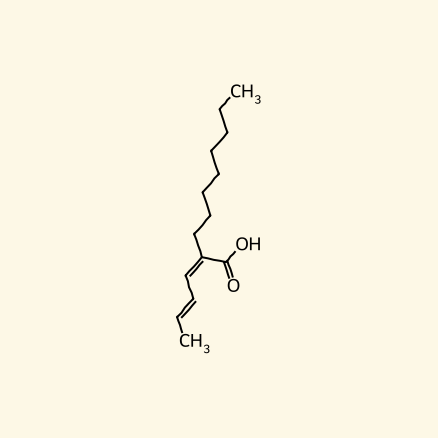 CC=CC=C(CCCCCCCC)C(=O)O